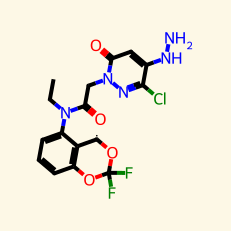 CCN(C(=O)Cn1nc(Cl)c(NN)cc1=O)c1cccc2c1[CH]OC(F)(F)O2